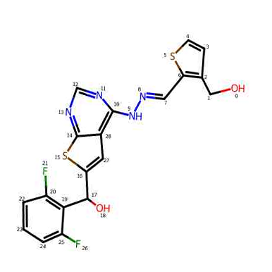 OCc1ccsc1C=NNc1ncnc2sc(C(O)c3c(F)cccc3F)cc12